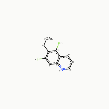 CC(=O)OCc1c(F)cc2ncccc2c1F